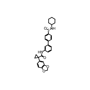 O=C(Nc1cccc(-c2ccc([S+]([O-])NC3CCCCC3)cc2)c1)C1(c2ccc3c(c2)OCO3)CC1